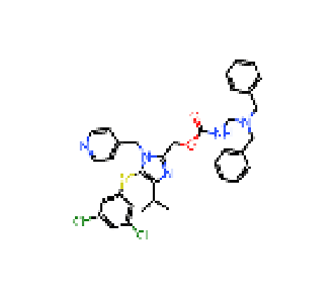 CC(C)c1nc(COC(=O)NCN(Cc2ccccc2)Cc2ccccc2)n(Cc2ccncc2)c1Sc1cc(Cl)cc(Cl)c1